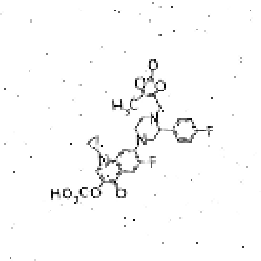 Cc1oc(=O)oc1CN1CCN(c2cc3c(cc2F)c(=O)c(OC(=O)O)cn3C2CC2)CC1c1ccc(F)cc1